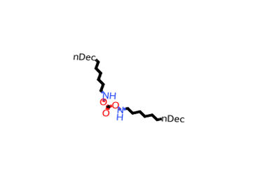 CCCCCCCCCCCCCCCCNOC(=O)ONCCCCCCCCCCCCCCCC